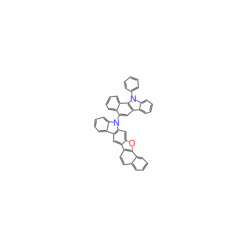 c1ccc(-n2c3ccccc3c3cc(-n4c5ccccc5c5cc6c(cc54)oc4c5ccccc5ccc64)c4ccccc4c32)cc1